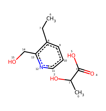 CC(O)C(=O)O.CCc1cccnc1CO